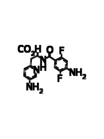 Nc1ccc(C[C@H](NC(=O)c2cc(F)c(N)cc2F)C(=O)O)nc1